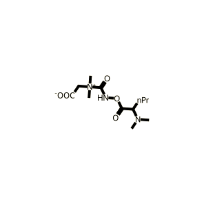 CCCC(C(=O)ONC(=O)[N+](C)(C)CC(=O)[O-])N(C)C